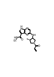 C=CC(=O)N1CC(Nc2cnc3[nH]cc(C(=O)NCC)c3n2)[C@H](C)C1